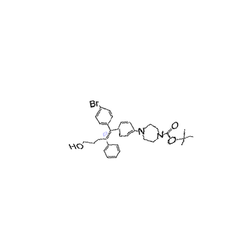 CC(C)(C)OC(=O)N1CCN(c2ccc(/C(=C(/CCCO)c3ccccc3)c3ccc(Br)cc3)cc2)CC1